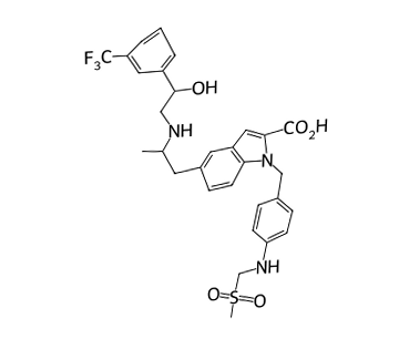 CC(Cc1ccc2c(c1)cc(C(=O)O)n2Cc1ccc(NCS(C)(=O)=O)cc1)NCC(O)c1cccc(C(F)(F)F)c1